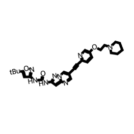 CC(C)(C)c1cc(NC(=O)Nc2cc3ncc(C#Cc4ccc(OCCN5CCCCC5)cn4)cn3n2)no1